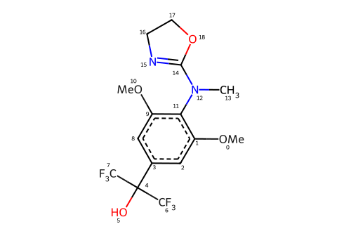 COc1cc(C(O)(C(F)(F)F)C(F)(F)F)cc(OC)c1N(C)C1=NCCO1